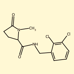 CN1C(=O)CCC1C(=O)NCc1cccc(Cl)c1Cl